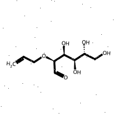 C=CCO[C@H](C=O)[C@@H](O)[C@H](O)[C@H](O)CO